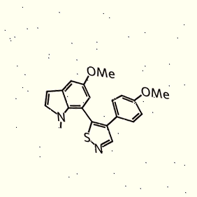 COc1ccc(-c2cnsc2-c2cc(OC)cc3ccn(C)c23)cc1